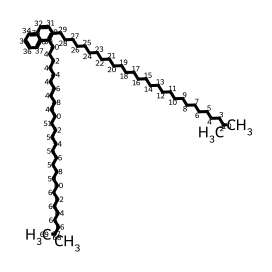 CC(C)CCCCCCCCCCCCCCCCCCCCCCCCCCCc1ccc2ccccc2c1CCCCCCCCCCCCCCCCCCCCCCCCCCCC(C)C